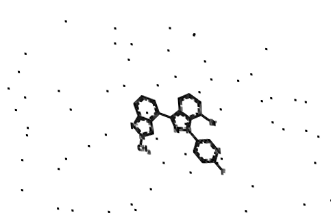 Cn1cc2c(-c3nn(-c4ccc(F)nc4)c4c(Br)cccc34)cccc2n1